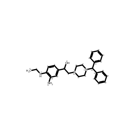 CCNc1ccc(C(O)CN2CCN(C(c3ccccc3)c3ccccc3)CC2)cc1N